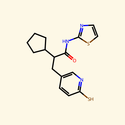 O=C(Nc1nccs1)C(Cc1ccc(S)nc1)C1CCCC1